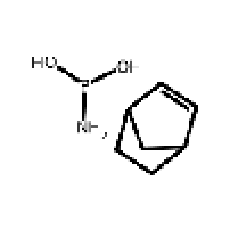 C1=CC2CCC1C2.NP(O)O